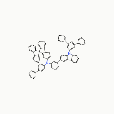 c1ccc(-c2ccc(N(c3cccc(-c4ccc5c(c4)c4ccccc4n5-c4cc(-c5ccccc5)cc(-c5ccccc5)c4)c3)c3ccc4c(c3)C3(c5ccccc5-c5ccccc53)c3ccccc3-4)cc2)cc1